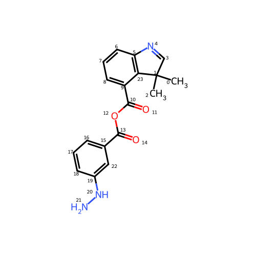 CC1(C)C=Nc2cccc(C(=O)OC(=O)c3cccc(NN)c3)c21